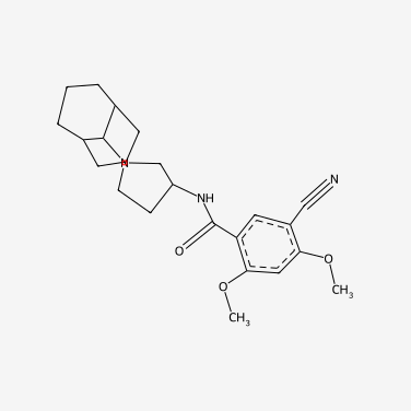 COc1cc(OC)c(C(=O)NC2CCN(C3C4CCCC3CCC4)C2)cc1C#N